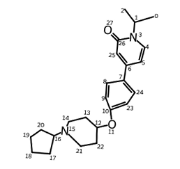 CC(C)n1ccc(-c2ccc(OC3CCN(C4CCCC4)CC3)cc2)cc1=O